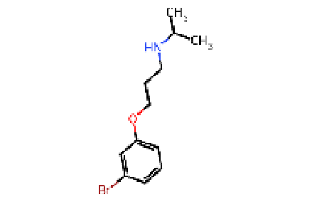 CC(C)NCCCOc1cccc(Br)c1